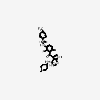 CN1CCC(N[C@@H]2NC=Nc3[nH]cc(C(=O)c4c(F)ccc(NS(=O)(=O)c5ccc(C(F)(F)F)cc5)c4F)c32)CC1